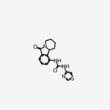 O=C(Nc1cscn1)Nc1cccc2c1C1CCCCN1C2=O